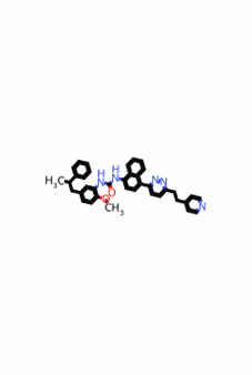 COc1ccc(CC(C)c2ccccc2)cc1NC(=O)Nc1ccc(-c2ccc(CCc3ccncc3)nn2)c2ccccc12